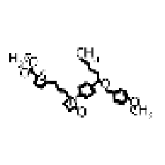 CCCCCC(OCc1ccc(OC)cc1)c1ccc(N2C(=O)CCC2C=CCc2ccc(C(=O)OC)s2)cc1